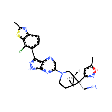 Cc1cc([C@@]2(CN)[C@@H]3CCN(c4cnc5c(-c6ccc7nc(C)sc7c6Cl)n[nH]c5n4)C[C@@H]32)no1